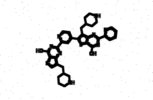 Oc1nc(-c2cc(-c3sc4c(O)nc(-c5ccccn5)nc4c3CC3CCNCC3)ccn2)nc2c(CC3CCCNC3)csc12